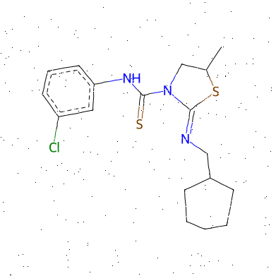 CC1CN(C(=S)Nc2cccc(Cl)c2)C(=NCC2CCCCC2)S1